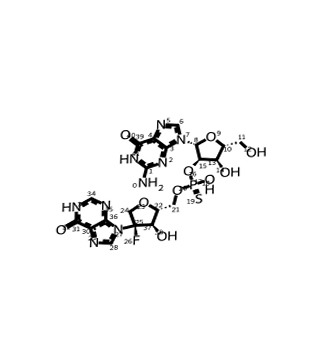 Nc1nc2c(ncn2[C@@H]2O[C@H](CO)[C@@H](O)[C@H]2OP(O)(=S)OC[C@H]2OC[C@@](F)(n3cnc4c(=O)[nH]cnc43)[C@@H]2O)c(=O)[nH]1